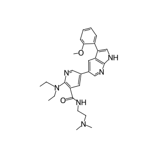 CCN(CC)c1ncc(-c2cnc3[nH]cc(-c4ccccc4OC)c3c2)cc1C(=O)NCCN(C)C